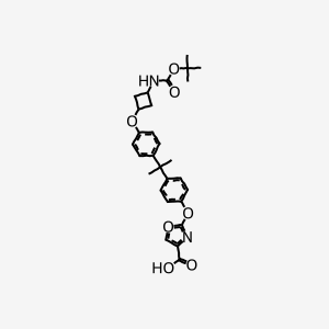 CC(C)(C)OC(=O)NC1CC(Oc2ccc(C(C)(C)c3ccc(Oc4nc(C(=O)O)co4)cc3)cc2)C1